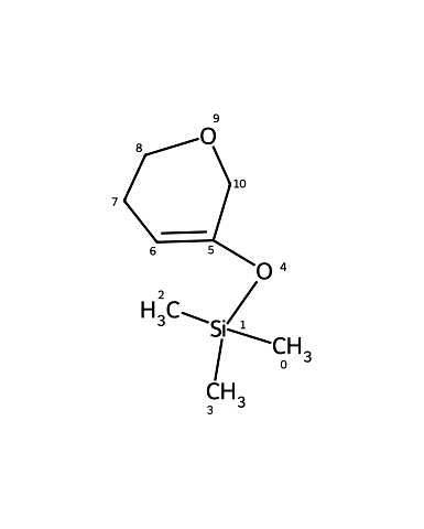 C[Si](C)(C)OC1=CCCOC1